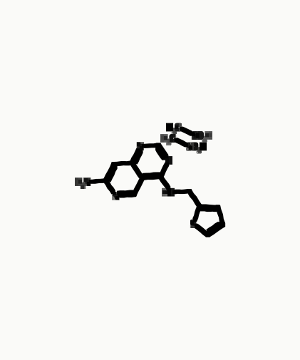 CS(=O)(=O)O.CS(=O)(=O)O.Nc1cc2ncnc(NCc3cccs3)c2cn1